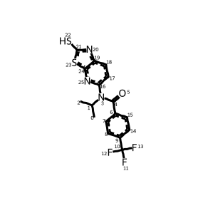 CC(C)N(C(=O)c1ccc(C(F)(F)F)cc1)c1ccc2nc(S)sc2n1